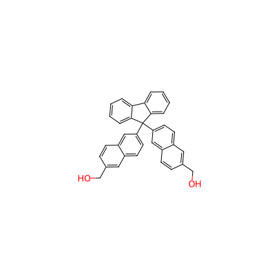 OCc1ccc2cc(C3(c4ccc5cc(CO)ccc5c4)c4ccccc4-c4ccccc43)ccc2c1